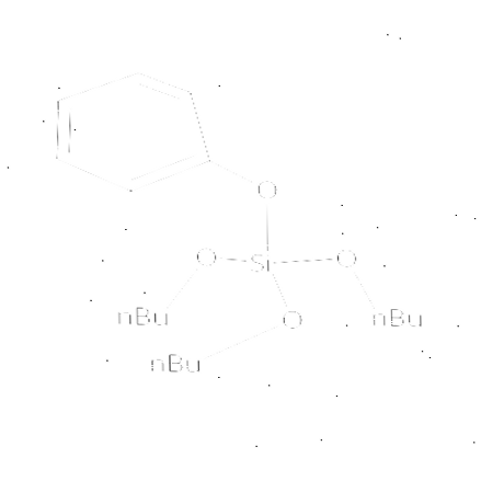 CCCCO[Si](OCCCC)(OCCCC)Oc1ccccc1